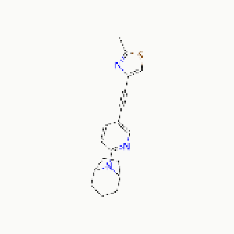 Cc1nc(C#Cc2ccc(N3C4CCCC3CC4)nc2)cs1